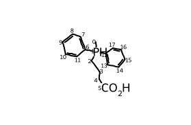 C[PH](CCCC(=O)O)(c1ccccc1)c1ccccc1